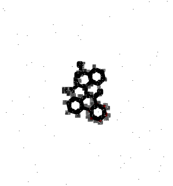 NC(=S)N(c1ccccc1[N+](=O)[O-])N(C(=O)C1CCCCC1)c1ccccc1-c1ccccc1